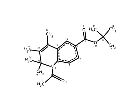 CC(=O)N1c2ccc(C(=O)OC(C)(C)C)cc2C(C)=C(N)C1(C)C